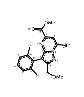 COCc1nn2c(C(C)C)cc(C(=O)OC)nc2c1-c1c(C)cccc1C